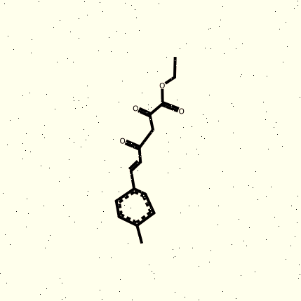 CCOC(=O)C(=O)CC(=O)/C=C/c1ccc(C)cc1